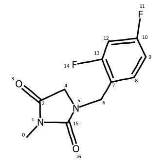 CN1C(=O)CN(Cc2ccc(F)cc2F)C1=O